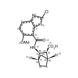 COc1ccc2nc(Cl)sc2c1C(=O)N[C@@H]1[C@H]2CC[C@H](C2)[C@@H]1C(=O)O